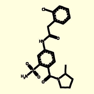 CC1CCCN1C(=O)c1ccc(NC(=O)Cc2ccccc2Cl)cc1S(N)(=O)=O